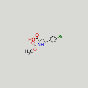 COC(=O)NC(CCc1ccc(Br)cc1)C(=O)O